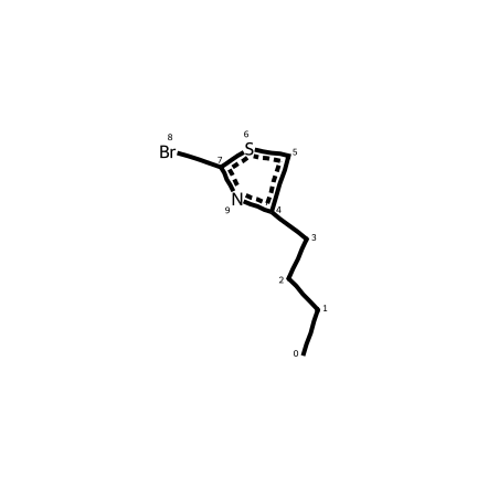 CCCCc1csc(Br)n1